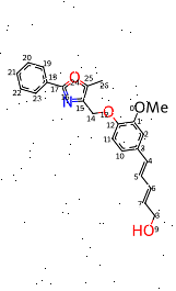 COc1cc(C=CC=CCO)ccc1OCc1nc(-c2ccccc2)oc1C